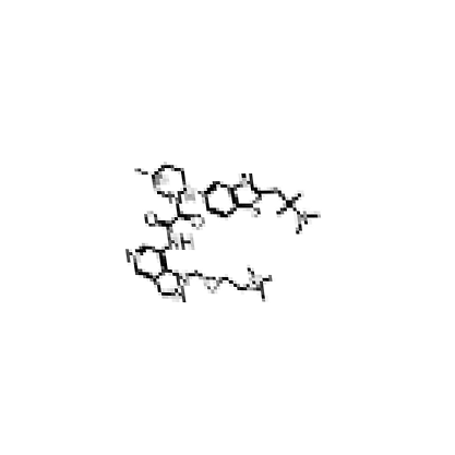 C[C@H]1CC[C@H](c2ccc3sc(CC(C)(C)N(C)C)nc3c2)N(C(=O)C(=O)Nc2cncc3cnn(COCC[Si](C)(C)C)c23)C1